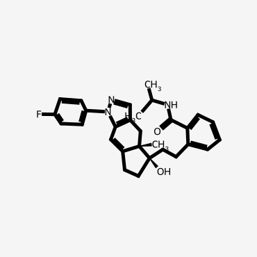 CC(C)NC(=O)c1ccccc1CC[C@]1(O)CCC2=Cc3c(cnn3-c3ccc(F)cc3)C[C@@]21C